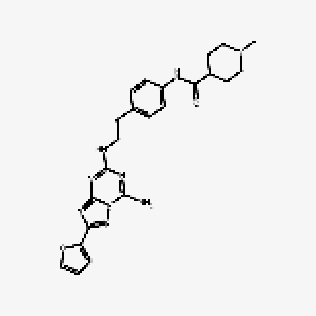 CN1CCC(C(=O)Nc2ccc(CCNc3nc(N)n4nc(-c5ccco5)nc4n3)cc2)CC1